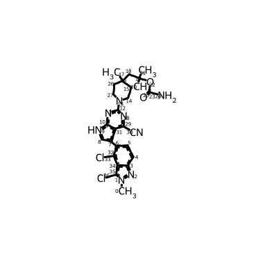 Cn1nc2ccc(-c3c[nH]c4nc(N5CCC(C)(CC(C)(C)OC(N)=O)CC5)nc(C#N)c34)c(Cl)c2c1Cl